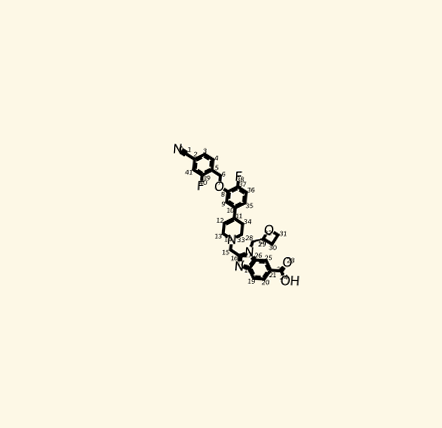 N#Cc1ccc(COc2cc(C3=CCN(Cc4nc5ccc(C(=O)O)cc5n4C[C@@H]4CCO4)CC3)ccc2F)c(F)c1